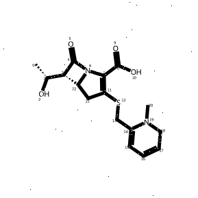 C[C@@H](O)[C@@H]1C(=O)N2C(C(=O)O)=C(SCC3=CC=CCN3C)CC12